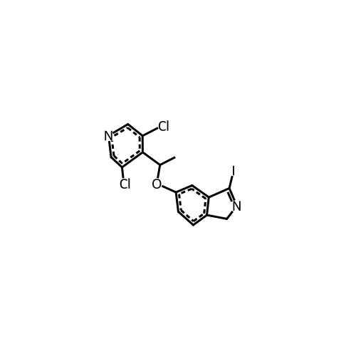 CC(Oc1ccc2c(c1)C(I)=NC2)c1c(Cl)cncc1Cl